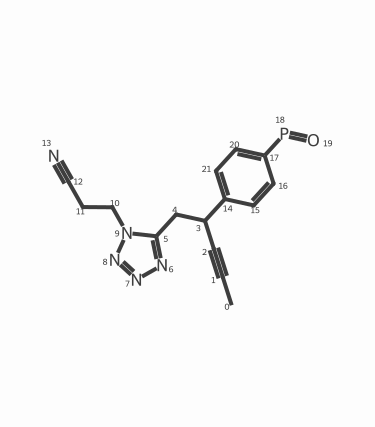 CC#CC(Cc1nnnn1CCC#N)c1ccc(P=O)cc1